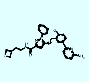 Nc1cccc(-c2ccc(Cl)c(CNc3cc(C(=O)NCCC4COC4)nn3-c3ccccc3)c2)n1